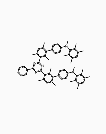 Cc1cc(C)c(C)c(N(C)c2ccc(-c3c(C)cc(C)c(-c4nc(-c5ccccc5)nc(-c5c(C)cc(C)c(-c6ccc(N(C)c7c(C)c(C)cc(C)c7C)cc6)c5C)n4)c3C)cc2)c1C